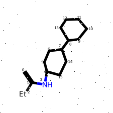 C=C(CC)NC1CCC(C2CCCCC2)CC1